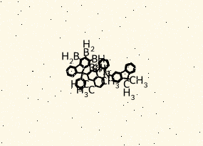 Bc1c(B)c(B)c2c(c1B)-c1ccccc1C2(C1=CC2(C)C3=C(C(C)C=CC3(C)N(c3ccc4c(c3)-c3ccccc3C4(C)C)c3ccccc32)C1C)c1ccccc1